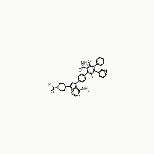 Cc1c(-c2ccc(-c3cc(C4CCN(C(=O)C(C)C)CC4)n4ncnc(N)c34)cc2)c(C(N)=O)c(=O)n(-c2ccccc2)c1-c1cccnc1